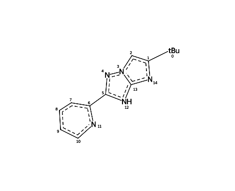 CC(C)(C)c1cn2nc(-c3ccccn3)[nH]c2n1